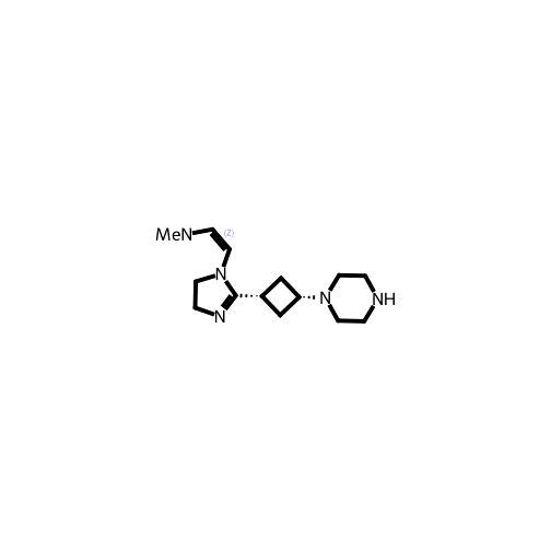 CN/C=C\N1CCN=C1[C@H]1C[C@@H](N2CCNCC2)C1